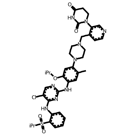 Cc1cc(Nc2ncc(Cl)c(Nc3ccccc3S(=O)(=O)C(C)C)n2)c(OC(C)C)cc1N1CCN(Cc2ccncc2N2CCC(=O)NC2=O)CC1